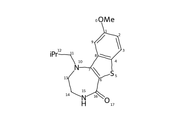 COc1ccc2sc3c(c2c1)N(CC(C)C)CCNC3=O